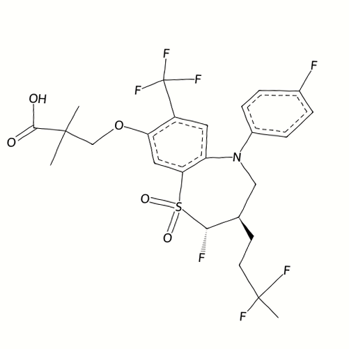 CC(F)(F)CC[C@@H]1CN(c2ccc(F)cc2)c2cc(C(F)(F)F)c(OCC(C)(C)C(=O)O)cc2S(=O)(=O)[C@H]1F